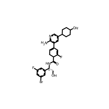 Nc1ncc(C2CCC(O)CC2)cc1C1=CCC(C(=O)N[C@H](CO)c2cc(F)cc(Br)c2)C(F)=C1